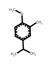 [CH2]C(C)c1ccc(OC)c(C)c1